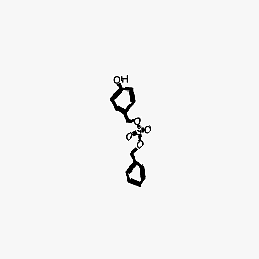 O=S(=O)(OCc1ccccc1)OCc1ccc(O)cc1